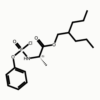 CCCC(CCC)COC(=O)[C@H](C)NP(=O)(Cl)Oc1ccccc1